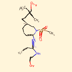 C=C/C(=N\C1=CC[C@@H](CC(C)(C)O)CN1S(C)(=O)=O)NCO